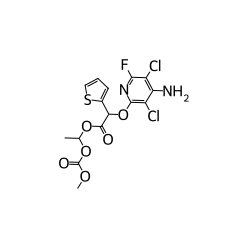 COC(=O)OC(C)OC(=O)C(Oc1nc(F)c(Cl)c(N)c1Cl)c1cccs1